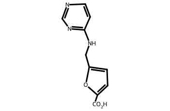 O=C(O)c1ccc(CNc2ccncn2)o1